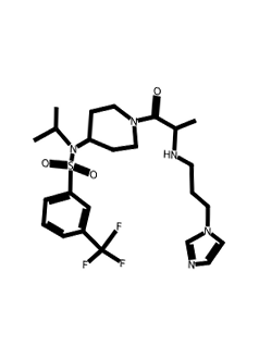 CC(NCCCn1ccnc1)C(=O)N1CCC(N(C(C)C)S(=O)(=O)c2cccc(C(F)(F)F)c2)CC1